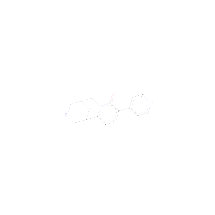 O=c1c(-c2ccncc2)ccc2n1CC1CNCC2C1